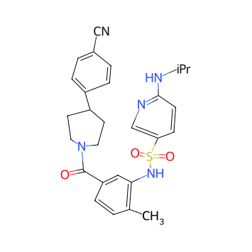 Cc1ccc(C(=O)N2CCC(c3ccc(C#N)cc3)CC2)cc1NS(=O)(=O)c1ccc(NC(C)C)nc1